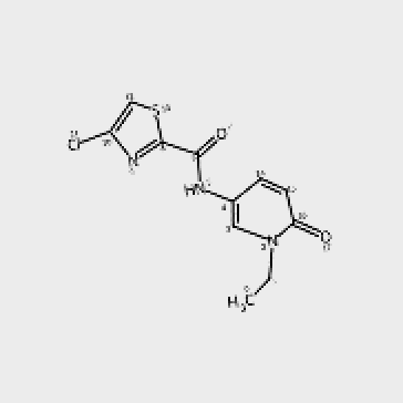 CCn1cc(NC(=O)c2nc(Cl)cs2)ccc1=O